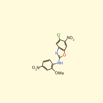 COc1cc([N+](=O)[O-])ccc1Nc1nc2cc(Cl)c([N+](=O)[O-])cc2o1